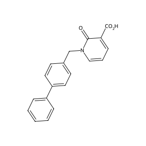 O=C(O)c1cccn(Cc2ccc(-c3ccccc3)cc2)c1=O